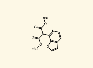 CC(C)(C)OC(=O)N(C(=O)OC(C)(C)C)c1nccc2ccoc12